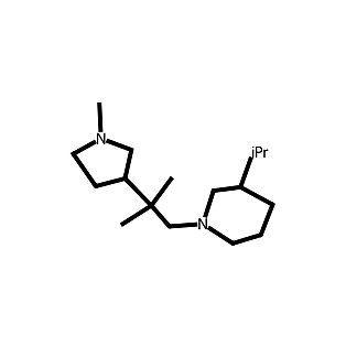 CC(C)C1CCCN(CC(C)(C)C2CCN(C)C2)C1